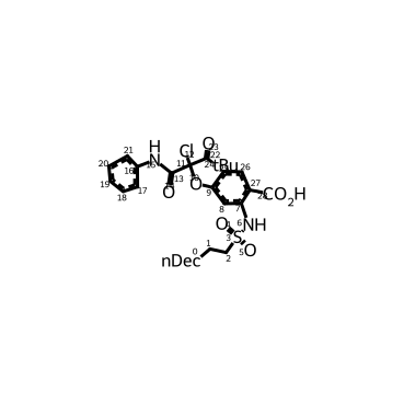 CCCCCCCCCCCCS(=O)(=O)Nc1cc(OC(Cl)(C(=O)Nc2ccccc2)C(=O)C(C)(C)C)ccc1C(=O)O